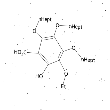 CCCCCCCOc1c(OCC)c(O)c(C(=O)O)c(OCCCCCCC)c1OCCCCCCC